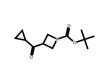 CC(C)(C)OC(=O)N1CC(C(=O)C2CC2)C1